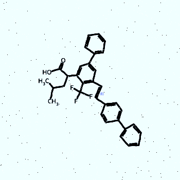 CC(C)CC(C(=O)O)c1cc(-c2ccccc2)cc(/C=C/c2ccc(-c3ccccc3)cc2)c1C(F)(F)F